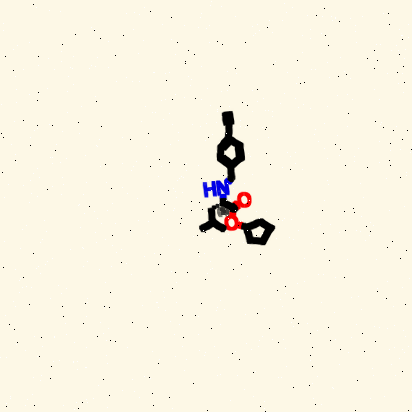 C#Cc1ccc(CN[C@@H](CC(C)C)C(=O)OC2CCCC2)cc1